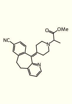 COC(=O)C(C)N1CCC(=C2c3ccc(C#N)cc3CCc3cccnc32)CC1